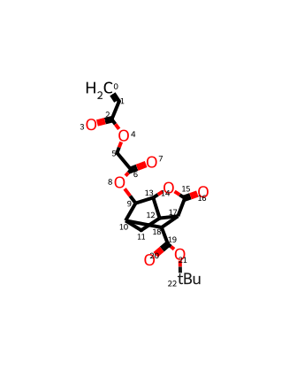 C=CC(=O)OCC(=O)OC1C2CC3C1OC(=O)C3C2C(=O)OC(C)(C)C